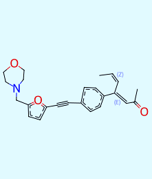 C/C=C\C(=C/C(C)=O)c1ccc(C#Cc2ccc(CN3CCOCC3)o2)cc1